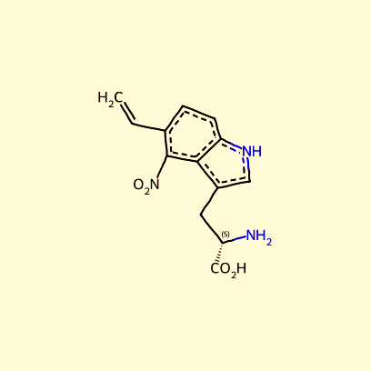 C=Cc1ccc2[nH]cc(C[C@H](N)C(=O)O)c2c1[N+](=O)[O-]